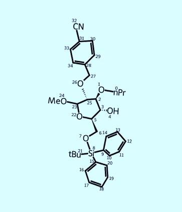 CCCO[C@H]1[C@H](O)[C@@H](CO[Si](c2ccccc2)(c2ccccc2)C(C)(C)C)OC(OC)[C@@H]1OCc1ccc(C#N)cc1